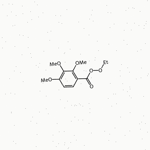 [CH2]COOC(=O)c1ccc(OC)c(OC)c1OC